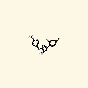 Br.Fc1ccc(-c2csc(=Nc3ccc(C(F)(F)F)cc3)[nH]2)c(F)c1